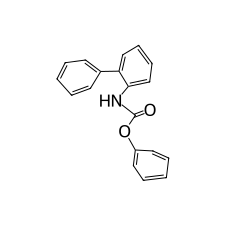 O=C(Nc1ccccc1-c1ccccc1)Oc1ccccc1